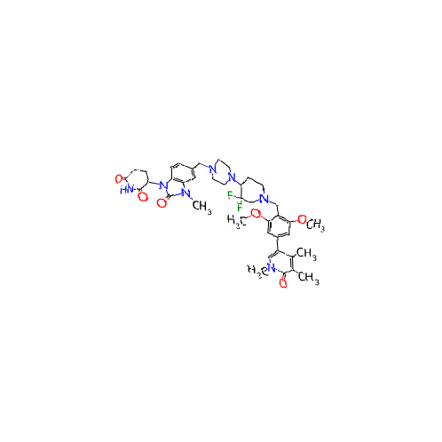 COc1cc(-c2cn(C)c(=O)c(C)c2C)cc(OC)c1CN1CCC(N2CCN(Cc3ccc4c(c3)n(C)c(=O)n4C3CCC(=O)NC3=O)CC2)C(F)(F)C1